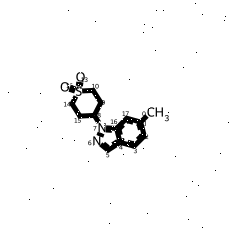 Cc1ccc2cnn(C3CCS(=O)(=O)CC3)c2c1